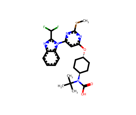 CSc1nc(O[C@H]2CC[C@H](N(C(=O)O)C(C)(C)C)CC2)cc(-n2c(C(F)F)nc3ccccc32)n1